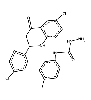 Cc1ccc(NC(=O)NN)cc1.O=C1CC(c2ccc(Cl)cc2)Nc2ccc(Cl)cc21